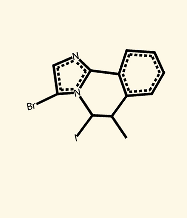 CC1c2ccccc2-c2ncc(Br)n2C1I